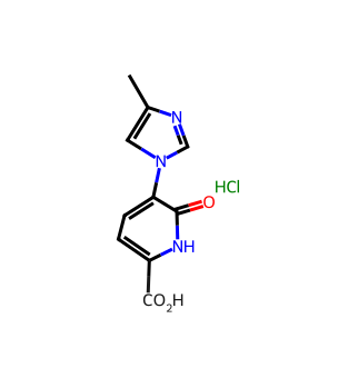 Cc1cn(-c2ccc(C(=O)O)[nH]c2=O)cn1.Cl